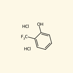 Cl.Cl.Oc1ccccc1C(F)(F)F